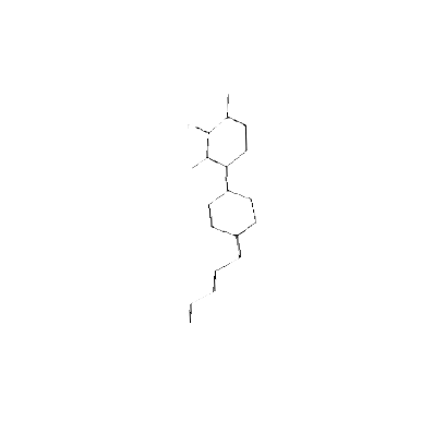 CCCCCC1CCC(C2CCC(C)C(F)C2F)CC1